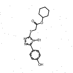 CCn1c(SCC(=O)OC2CCCCC2)nnc1-c1ccc(O)cc1